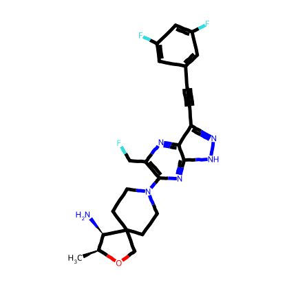 C[C@@H]1OCC2(CCN(c3nc4[nH]nc(C#Cc5cc(F)cc(F)c5)c4nc3CF)CC2)[C@@H]1N